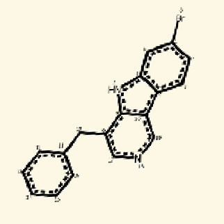 Brc1ccc2c(c1)[nH]c1c(Cc3ccccc3)cncc12